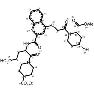 CCOC(=O)N1CCN(C(=O)C(CCC(=O)O)NC(=O)c2cc(OCC(=O)N3CC[C@@H](O)C[C@H]3C(=O)OC)c3ccccc3n2)CC1